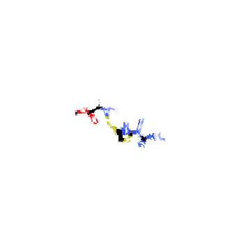 COC(=O)[C@H](C)NSc1csc(NC(=N)N)n1